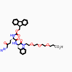 [N-]=[N+]=CC(=O)CC[C@H](NC(=O)OCC1c2ccccc2-c2ccccc21)C(=O)N[C@@H](Cc1ccccc1)C(=O)NCCOCCOCCOCCC(=O)O